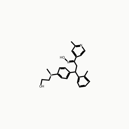 Cc1cc(C(CC(c2ccc(N(C)CCO)cc2)c2ccccc2C)=NO)ccn1